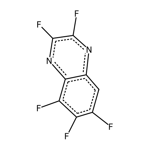 Fc1cc2nc(F)c(F)nc2c(F)c1F